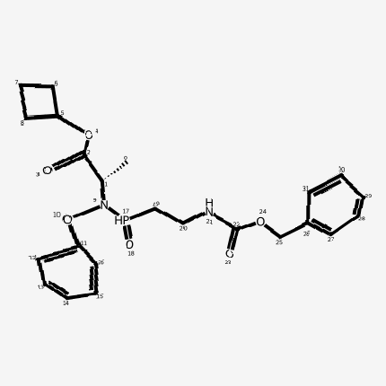 C[C@@H](C(=O)OC1CCC1)N(Oc1ccccc1)[PH](=O)CCNC(=O)OCc1ccccc1